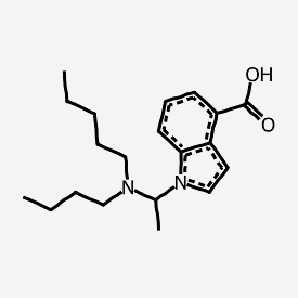 CCCCCN(CCCC)C(C)n1ccc2c(C(=O)O)cccc21